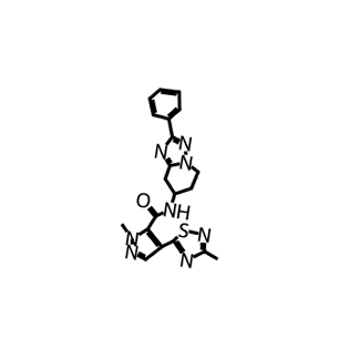 Cc1nsc(-c2cnn(C)c2C(=O)NC2CCn3nc(-c4ccccc4)nc3C2)n1